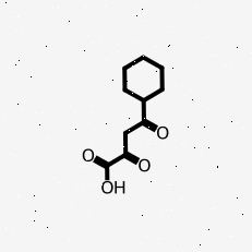 O=C(O)C(=O)CC(=O)C1CCCCC1